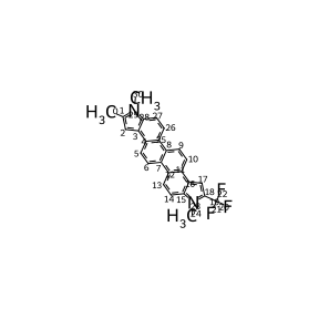 Cc1cc2c3ccc4c(ccc5c4ccc4c5cc(C(F)(F)F)n4C)c3ccc2n1C